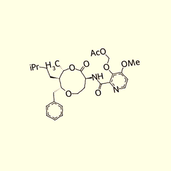 COc1ccnc(C(=O)N[C@H]2CCO[C@H](Cc3ccccc3)[C@@H](CCC(C)C)[C@H](C)OC2=O)c1OCOC(C)=O